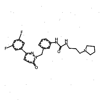 O=C(NCCCN1CCCC1)Nc1cccc(Cn2nc(-c3cc(F)cc(F)c3)ccc2=O)c1